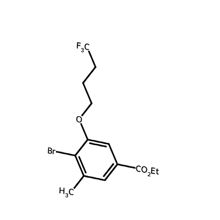 CCOC(=O)c1cc(C)c(Br)c(OCCCC(F)(F)F)c1